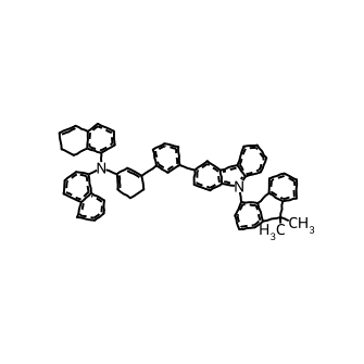 CC1(C)c2ccccc2-c2c(-n3c4ccccc4c4cc(-c5cccc(C6=CC(N(c7cccc8c7CCC=C8)c7cccc8ccccc78)=CCC6)c5)ccc43)cccc21